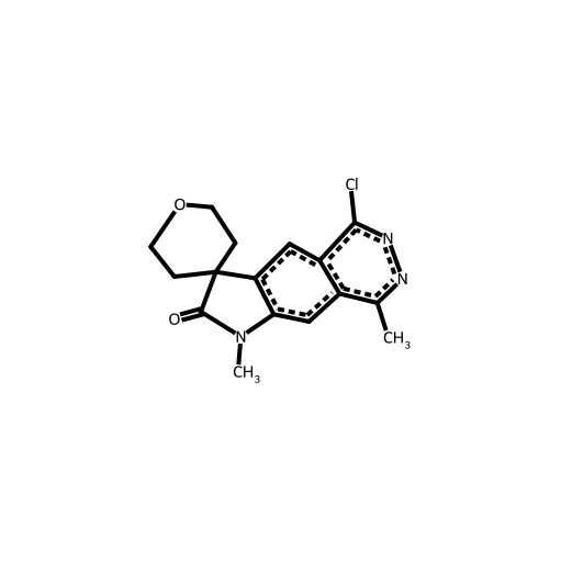 Cc1nnc(Cl)c2cc3c(cc12)N(C)C(=O)C31CCOCC1